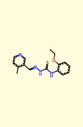 CCOc1ccccc1NC(=S)N/N=C/c1cnccc1C